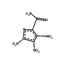 N=C(N)c1nn([N+](=O)[O-])c([N+](=O)[O-])c1[N+](=O)[O-]